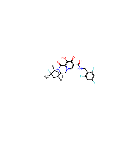 C[C@]1(F)C[C@@H]2C[C@H]1N1C(=O)c3c(O)c(=O)c(C(=O)NCc4c(F)cc(F)cc4F)cn3C[C@@H]21